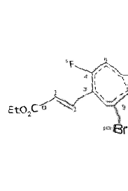 CCOC(=O)/C=C/c1c(F)cccc1Br